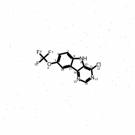 FC(F)(F)Oc1ccc2[nH]c3c(Cl)ncnc3c2c1